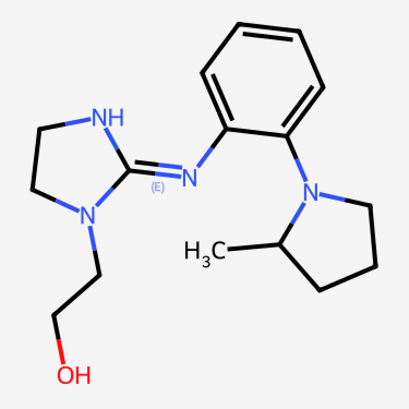 CC1CCCN1c1ccccc1/N=C1\NCCN1CCO